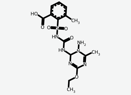 CCOC1=NC(NC(=O)NS(=O)(=O)c2c(C)cccc2C(=O)O)N(N)C(C)=N1